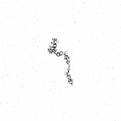 Cc1cnc(N2CCN(C(=O)CCOCCN3CCN(c4ncc(C(=O)N5CCc6cc(Cn7nc(-c8ccc9oc(N)nc9c8)c8c(N)ncnc87)ccc6C5)cn4)CC3)CC2)nc1